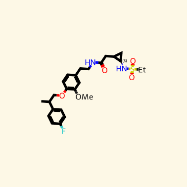 CCS(=O)(=O)N[C@H]1CC1CC(=O)NCCc1ccc(OCC(C)c2ccc(F)cc2)c(OC)c1